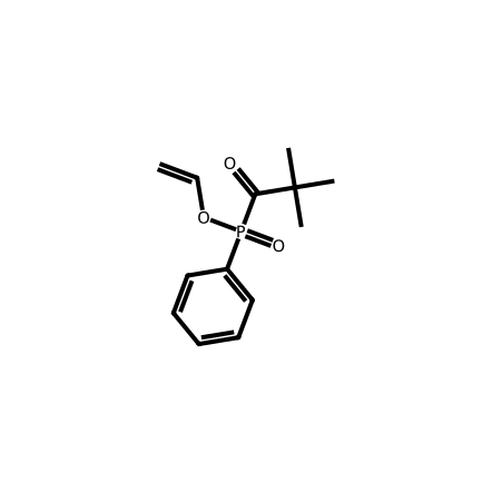 C=COP(=O)(C(=O)C(C)(C)C)c1ccccc1